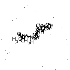 CC1(C)CC(CCCNc2cccc(SNC(=O)c3ccc(C4=CCCCO4)nc3Cl)n2)CN1C=O